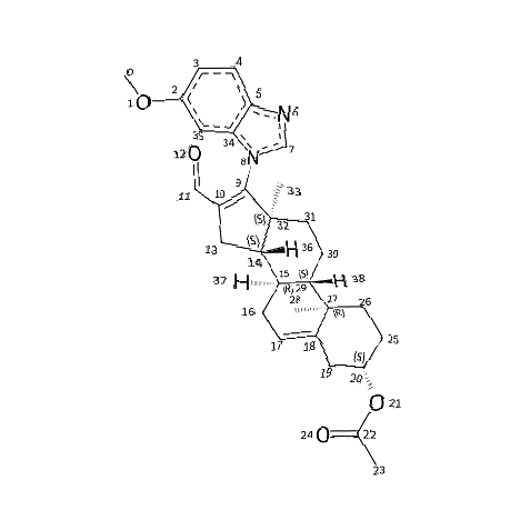 COc1ccc2ncn(C3=C(C=O)C[C@H]4[C@@H]5CC=C6C[C@@H](OC(C)=O)CC[C@]6(C)[C@H]5CC[C@]34C)c2c1